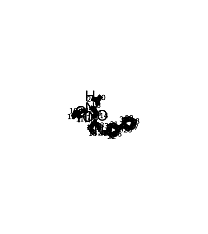 CC(C)C[C@H](NC(=O)OC(C)(C)C)C(=O)N[C@H]1CCN(Cc2ccc(-c3ccccc3)cc2)C1